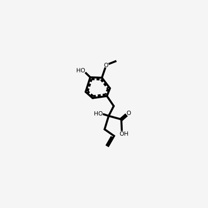 C=CCC(O)(Cc1ccc(O)c(OC)c1)C(=O)O